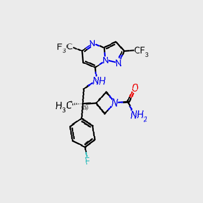 C[C@@](CNc1cc(C(F)(F)F)nc2cc(C(F)(F)F)nn12)(c1ccc(F)cc1)C1CN(C(N)=O)C1